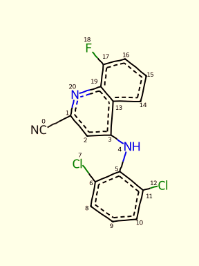 N#Cc1cc(Nc2c(Cl)cccc2Cl)c2cccc(F)c2n1